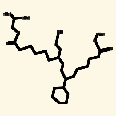 CCCCCCCCCOC(=O)CCCCCN(CCN(CCO)CCCCCC(=O)OCC(CCCCCCCC)CCCCCCCC)C1CCCCC1